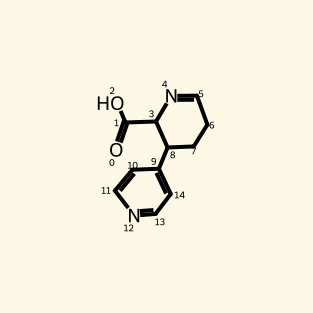 O=C(O)C1N=CCCC1c1ccncc1